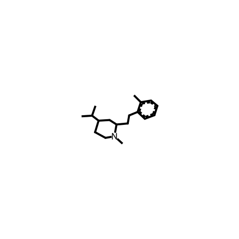 Cc1ccccc1CCC1CC(C(C)C)CCN1C